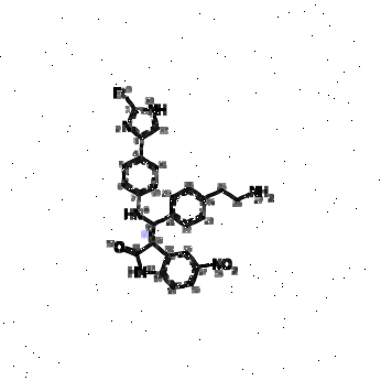 CCc1nc(-c2ccc(N/C(=C3\C(=O)Nc4ccc([N+](=O)[O-])cc43)c3ccc(CCN)cc3)cc2)c[nH]1